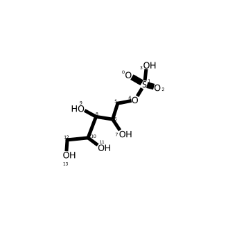 O=S(=O)(O)OCC(O)C(O)C(O)CO